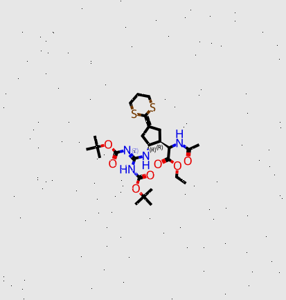 CCOC(=O)C(NC(C)=O)[C@@H]1CC(=C2SCCCS2)C[C@H]1N/C(=N/C(=O)OC(C)(C)C)NC(=O)OC(C)(C)C